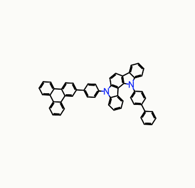 c1ccc(-c2ccc(-n3c4ccccc4c4ccc5c(c6ccccc6n5-c5ccc(-c6ccc7c8ccccc8c8ccccc8c7c6)cc5)c43)cc2)cc1